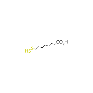 O=C(O)CCCCCCCSS